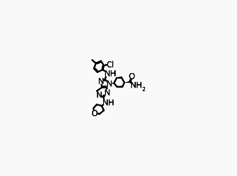 Cc1ccc(Nc2nc3cnc(NC4CCOCC4)nc3n2[C@H]2CC[C@H](C(N)=O)CC2)c(Cl)c1